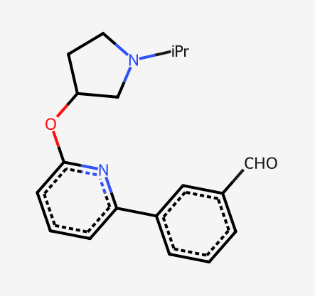 CC(C)N1CCC(Oc2cccc(-c3cccc(C=O)c3)n2)C1